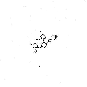 COc1ccc(CN2CCN(C3CC4(CCNCC4)C3)C(c3ccccc3C(C)C)C2)c(OC)c1